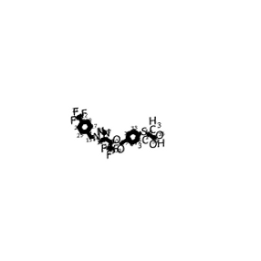 CC(C)(Sc1ccc(C(=O)O[C@@H](c2cn(Cc3ccc(C(F)(F)F)cc3)nn2)C(F)(F)F)cc1)C(=O)O